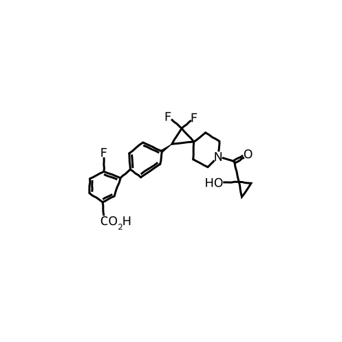 O=C(O)c1ccc(F)c(-c2ccc([C@H]3C(F)(F)C34CCN(C(=O)C3(O)CC3)CC4)cc2)c1